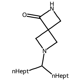 CCCCCCCC(CCCCCCC)N1CC2(CNC2=O)C1